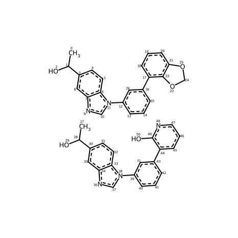 CC(O)c1ccc2c(c1)ncn2-c1cccc(-c2cccc3c2OCO3)c1.CC(O)c1ccc2c(c1)ncn2-c1cccc(-c2cccnc2O)c1